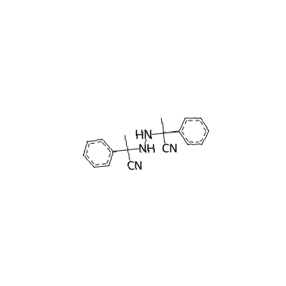 CC(C#N)(NNC(C)(C#N)c1ccccc1)c1ccccc1